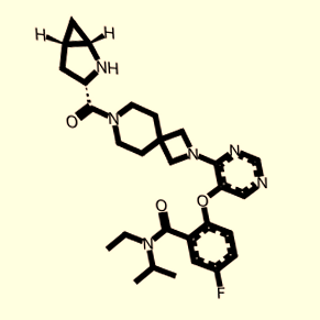 CCN(C(=O)c1cc(F)ccc1Oc1cncnc1N1CC2(CCN(C(=O)[C@@H]3C[C@@H]4C[C@@H]4N3)CC2)C1)C(C)C